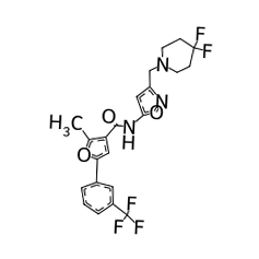 Cc1oc(-c2cccc(C(F)(F)F)c2)cc1C(=O)Nc1cc(CN2CCC(F)(F)CC2)no1